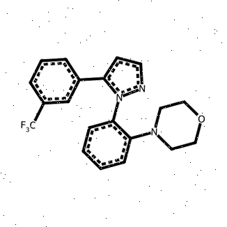 FC(F)(F)c1cccc(-c2ccnn2-c2ccccc2N2CCOCC2)c1